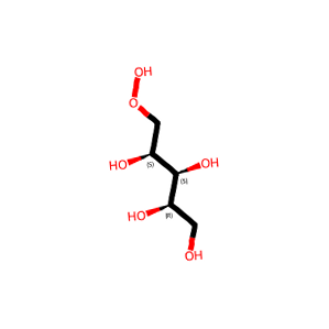 OC[C@@H](O)[C@H](O)[C@@H](O)COO